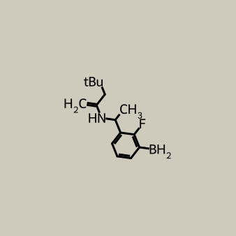 Bc1cccc(C(C)NC(=C)CC(C)(C)C)c1F